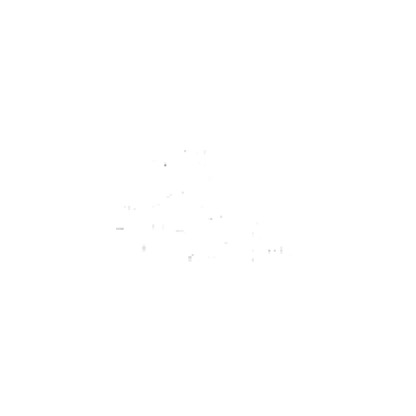 CS(=O)(=O)c1ccc(-n2ccnc2)c(-c2cccnc2)c1